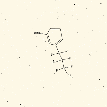 [CH2]CCCc1cccc(C(F)(F)C(F)(F)C(F)(F)C(F)(F)F)c1